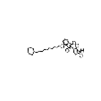 O=C1CCC(N2C(=O)c3cccc(OCCCCCCCCCCC4CCCCCC4)c3C2=O)C(=O)N1